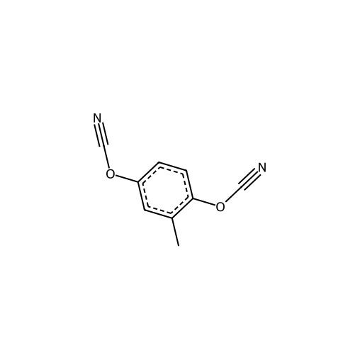 Cc1cc(OC#N)ccc1OC#N